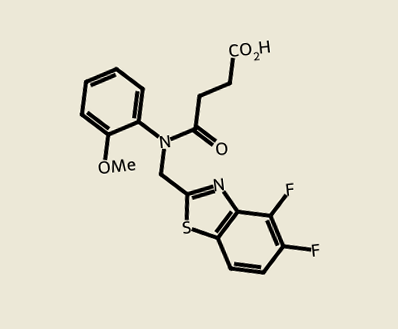 COc1ccccc1N(Cc1nc2c(F)c(F)ccc2s1)C(=O)CCC(=O)O